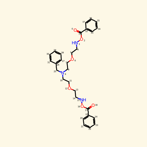 O=C(ONCCOCCN(CCOCCNOC(=O)c1ccccc1)Cc1ccccc1)c1ccccc1